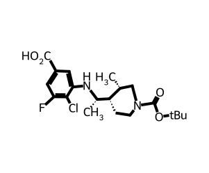 C[C@@H]1CN(C(=O)OC(C)(C)C)CC[C@@H]1[C@H](C)Nc1cc(C(=O)O)cc(F)c1Cl